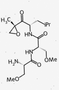 COC[C@H](NC(=O)[C@@H](N)COC)C(=O)N[C@@H](CC(C)C)C(=O)[C@@]1(C)CO1